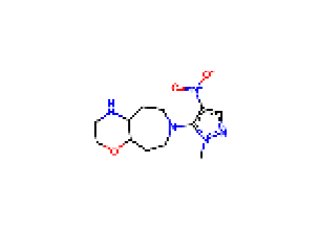 Cn1ncc([N+](=O)[O-])c1N1CCC2NCCOC2CC1